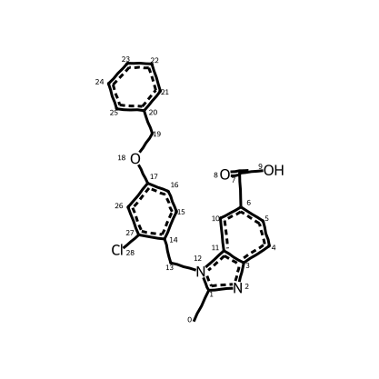 Cc1nc2ccc(C(=O)O)cc2n1Cc1ccc(OCc2ccccc2)cc1Cl